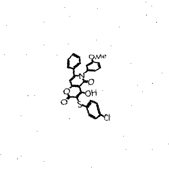 COc1cccc(-n2c(-c3ccccc3)cc3oc(=O)c(Sc4ccc(Cl)cc4)c(O)c3c2=O)c1